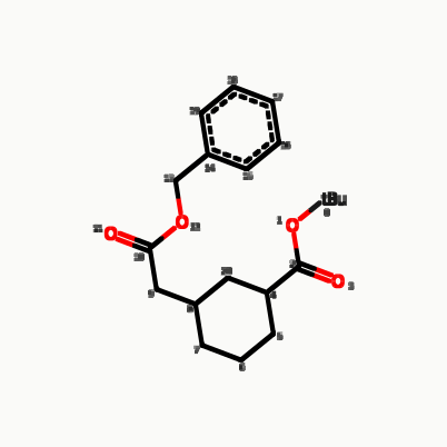 CC(C)(C)OC(=O)C1CCCC(CC(=O)OCc2ccccc2)C1